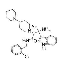 CC(=O)C(N)(c1c[nH]c2ccccc12)C(C(=O)NCc1ccccc1Cl)N1CCC(N2CCCCC2)CC1